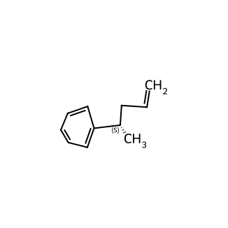 C=CC[C@H](C)c1ccccc1